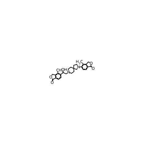 Cc1c(C(O)CN2CCC3(CC2)CCN(c2ccc4c(c2C)COC4=O)C3)ccc2c1COC2=O